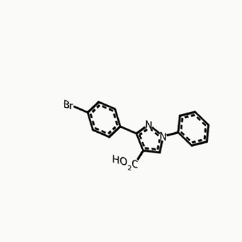 O=C(O)c1cn(-c2ccccc2)nc1-c1ccc(Br)cc1